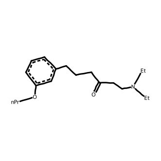 CCCOc1cccc(CCCC(=O)CCN(CC)CC)c1